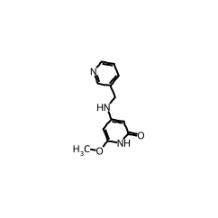 COc1cc(NCc2cccnc2)cc(=O)[nH]1